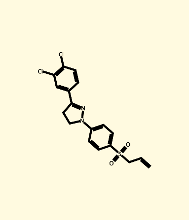 C=CCS(=O)(=O)c1ccc(N2CCC(c3ccc(Cl)c(Cl)c3)=N2)cc1